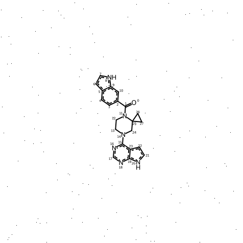 O=C(c1ccc2cc[nH]c2c1)N1CCN(c2ncnc3[nH]ccc23)CC12CC2